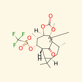 CC1=C[C@]23C(=O)[C@@H]([C@H](OS(=O)(=O)C(F)(F)F)[C@H](C)[C@H]4OC(=O)O[C@]42[C@H]1C)[C@H]1[C@@H](C[C@H]3C)C1(C)C